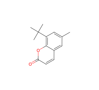 Cc1cc(C(C)(C)C)c2oc(=O)ccc2c1